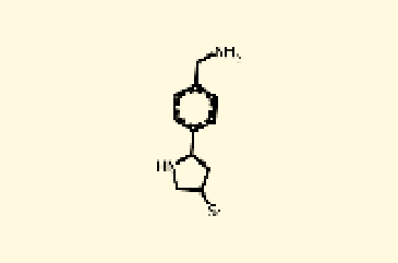 NCc1ccc(C2CC([S])CN2)cc1